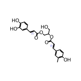 Cc1cc(/C=C/C(=O)OC(CO)COC(=O)/C=C/c2ccc(O)c(O)c2)ccc1O